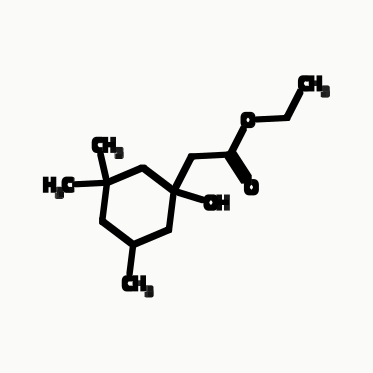 CCOC(=O)CC1(O)CC(C)CC(C)(C)C1